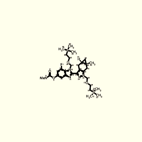 CNC(=O)Oc1cc(F)c2c(c1)nc(-c1nn(COCC[Si](C)(C)C)c3c1C[C@@H]1C[C@]1(C)C3)n2COCC[Si](C)(C)C